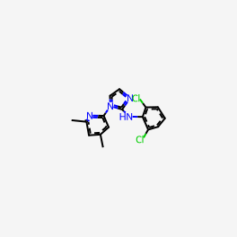 Cc1cc(C)nc(-n2ccnc2Nc2c(Cl)cccc2Cl)c1